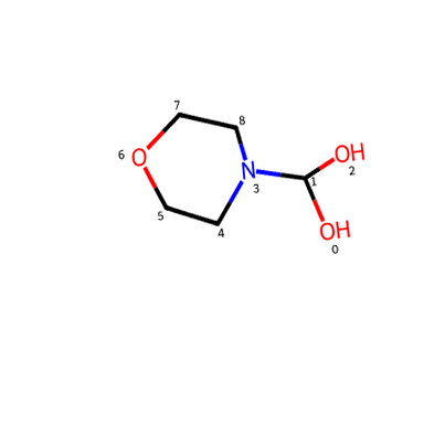 OC(O)N1CCOCC1